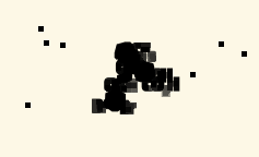 Cn1c(-c2ccccc2C(F)(F)F)c(C(=O)CCNC(=O)c2cc(Br)cc(Br)c2)c2cc(C(=O)O)c(O)cc21